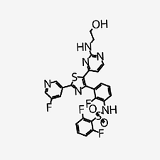 O=S(=O)(Nc1cccc(-c2nc(-c3cncc(F)c3)sc2-c2ccnc(NCCO)n2)c1F)c1c(F)cccc1F